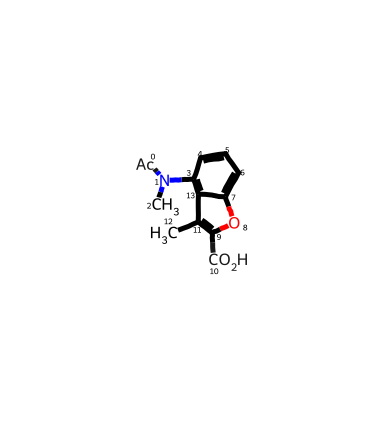 CC(=O)N(C)c1cccc2oc(C(=O)O)c(C)c12